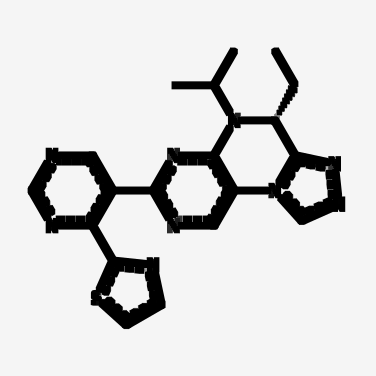 CC[C@@H]1c2nncn2-c2cnc(-c3cncnc3-c3nccs3)nc2N1C(C)C